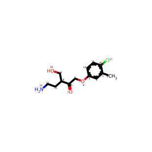 Cc1cc(OCC(=O)C(CO)CCN)ccc1Cl